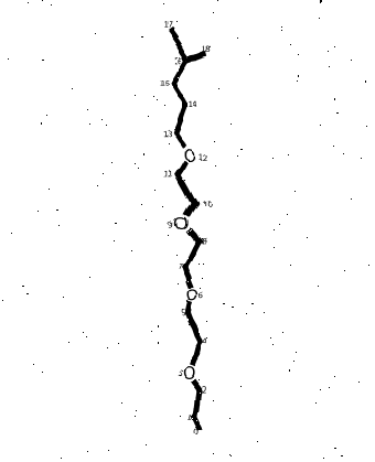 CCCOCCOCCOCCOCCCC(C)C